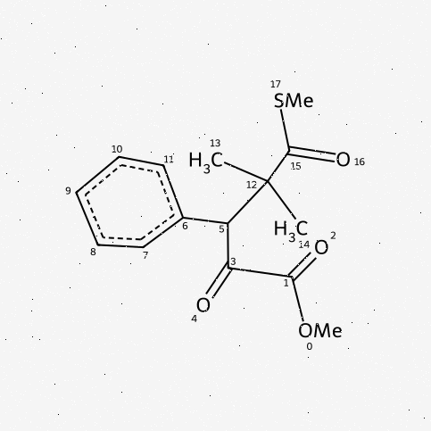 COC(=O)C(=O)C(c1ccccc1)C(C)(C)C(=O)SC